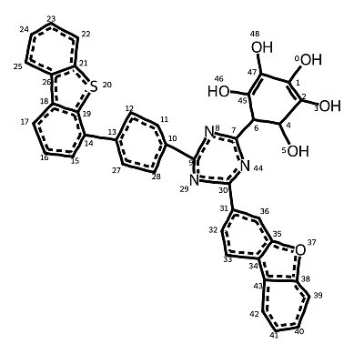 OC1=C(O)C(O)C(c2nc(-c3ccc(-c4cccc5c4sc4ccccc45)cc3)nc(-c3ccc4c(c3)oc3ccccc34)n2)C(O)=C1O